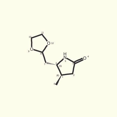 C[C@@H]1CC(=O)N[C@H]1CC1OCCO1